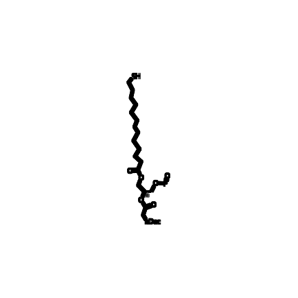 CCCCCCCCCCCC(=O)O[C@@H](COP=O)COC(=O)CCCCCCCCCCCCS